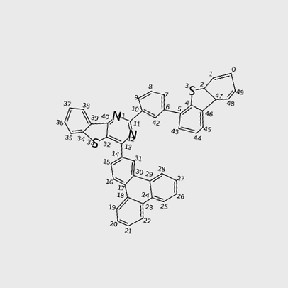 C1=CC2Sc3c(-c4cccc(-c5nc(-c6ccc7c8ccccc8c8ccccc8c7c6)c6sc7ccccc7c6n5)c4)cccc3C2C=C1